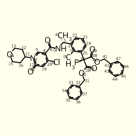 Cc1c([C@@H](C)NC(=O)c2cn(C3CCOCC3)c(=O)cc2Cl)cccc1C(F)(C(=O)OCc1ccccc1)C(=O)OCc1ccccc1